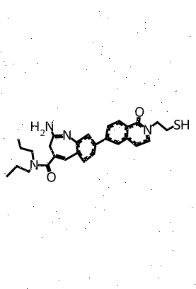 CCCN(CCC)C(=O)C1=Cc2ccc(-c3ccc4c(=O)n(CCS)ccc4c3)cc2N=C(N)C1